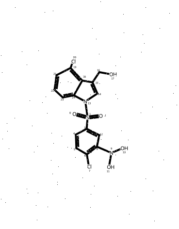 O=S(=O)(c1ccc(Cl)c(N(O)O)c1)n1cc(CO)c2c(Cl)cccc21